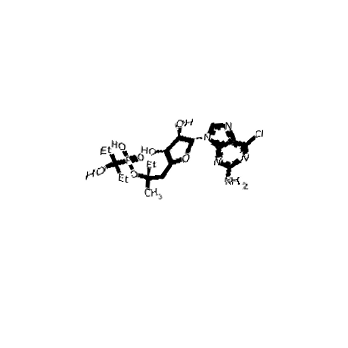 CCC(O)(CC)P(=O)(O)O[C@](C)(CC)CC1O[C@@H](n2cnc3c(Cl)nc(N)nc32)[C@H](O)[C@@H]1O